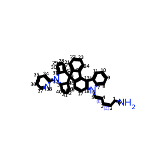 NC/C=C\C=C\n1c2ccccc2c2c3c(ccc21)C1(c2ccccc2-3)c2ccccc2N(c2ccccn2)C2C=CC=CC21